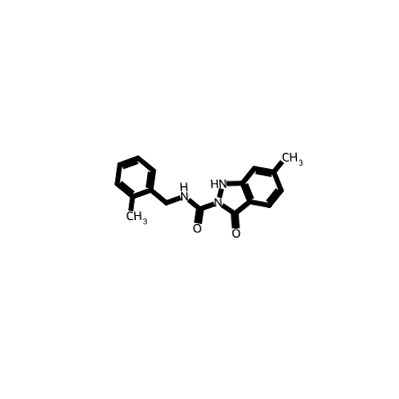 Cc1ccc2c(=O)n(C(=O)NCc3ccccc3C)[nH]c2c1